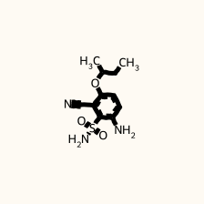 CCC(C)Oc1ccc(N)c(S(N)(=O)=O)c1C#N